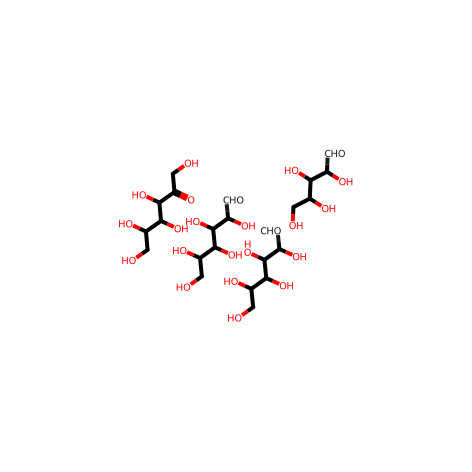 O=C(CO)C(O)C(O)C(O)CO.O=CC(O)C(O)C(O)C(O)CO.O=CC(O)C(O)C(O)C(O)CO.O=CC(O)C(O)C(O)CO